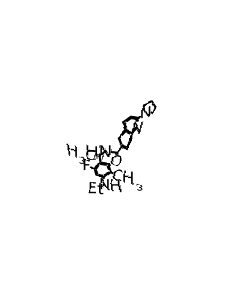 CCNc1cc(F)c([C@@H](C)NC(=O)c2ccc3nc(N4CCCC4)ccc3c2)cc1C